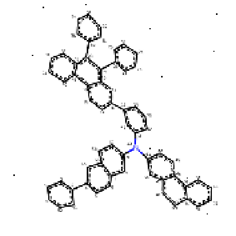 c1ccc(-c2ccc3cc(N(c4cccc(-c5ccc6c(c5)c(-c5ccccc5)c(-c5ccccc5)c5ccccc56)c4)c4ccc5c(ccc6ccccc65)c4)ccc3c2)cc1